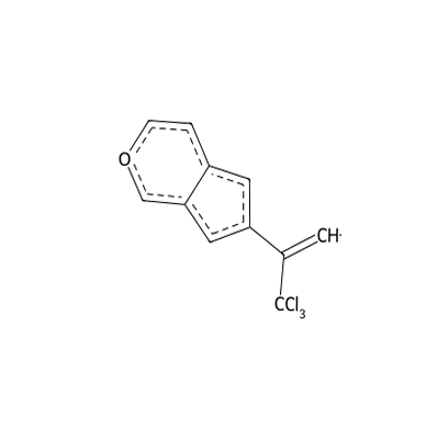 [CH]=C(c1cc2ccocc-2c1)C(Cl)(Cl)Cl